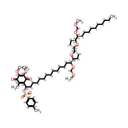 CCCCCCCCCC[C@H](OCOC)[C@@H]1CC[C@@H]([C@@H]2CC[C@@H](C(CCCCCCCCCCCCC(OS(=O)(=O)c3ccc(C)cc3)C3=C(C)C(=O)C(OC)=C(OC)C3=O)OCOC)O2)O1